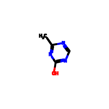 Cc1ncnc(O)n1